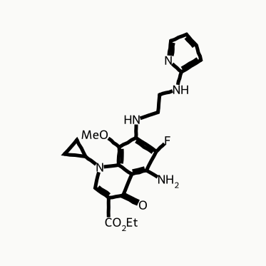 CCOC(=O)c1cn(C2CC2)c2c(OC)c(NCCNc3ccccn3)c(F)c(N)c2c1=O